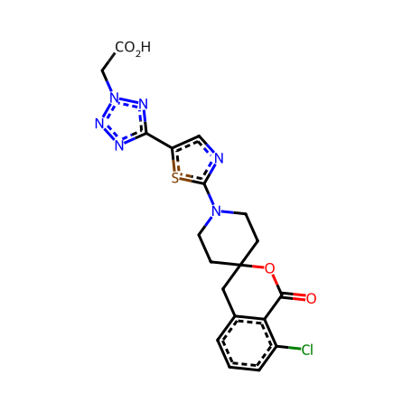 O=C(O)Cn1nnc(-c2cnc(N3CCC4(CC3)Cc3cccc(Cl)c3C(=O)O4)s2)n1